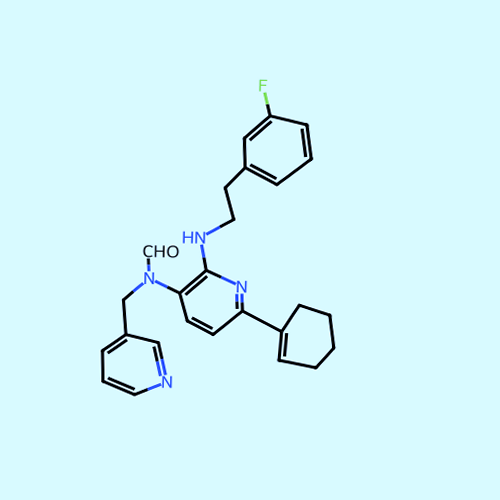 O=CN(Cc1cccnc1)c1ccc(C2=CCCCC2)nc1NCCc1cccc(F)c1